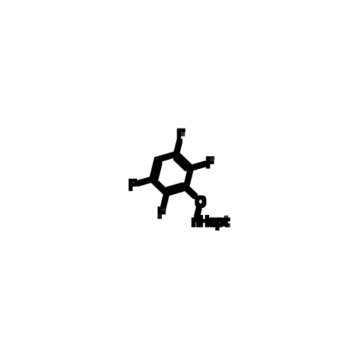 CCCCCCCOc1c(F)c(F)cc(F)c1F